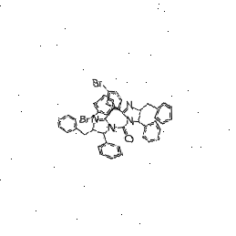 O=C(N1C(c2cccc(Br)c2)=NC(Cc2ccccc2)C1c1ccccc1)N1C(c2cccc(Br)c2)=NC(Cc2ccccc2)C1c1ccccc1